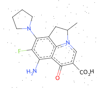 CC1Cc2c(N3CCCC3)c(F)c(N)c3c(=O)c(C(=O)O)cn1c23